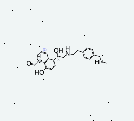 C/C=C\c1c([C@@H](O)CNCCc2ccc(CNC)cc2)ccc(O)c1NC=O